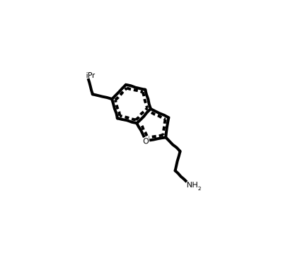 CC(C)Cc1ccc2cc(CCN)oc2c1